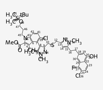 COC(=O)c1c(C)c2c(-c3c(CSCc4cc(CCc5cc(O)c6ccc(Cl)c(F)c6c5)n(C)n4)nn(C)c3C)c(Cl)ccc2n1CCCO[Si](C)(C)C(C)(C)C